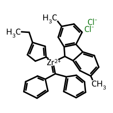 CCC1=CC[C]([Zr+2](=[C](c2ccccc2)c2ccccc2)[CH]2c3cc(C)ccc3-c3ccc(C)cc32)=C1.[Cl-].[Cl-]